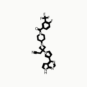 N#CCC1(n2ccc(-c3ncnc4[nH]ccc34)c2)CN(C2CCN(C(=O)c3ccc(F)c(C(F)(F)F)c3)CC2)C1